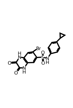 O=c1[nH]c2cc(Br)c(S(=O)(=O)Nc3ccc(C4CC4)cc3)cc2[nH]c1=O